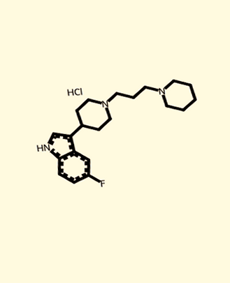 Cl.Fc1ccc2[nH]cc(C3CCN(CCCN4CCCCC4)CC3)c2c1